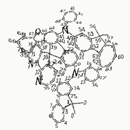 CC1(C)c2ccccc2-c2ccc(N(c3ccccc3)c3ccc4c(c3)C3(c5cccnc5-c5ncccc53)c3c-4c(N(c4ccccc4)c4ccc5c(c4)C(C)(C)c4ccccc4-5)cc4oc5ccccc5c34)cc21